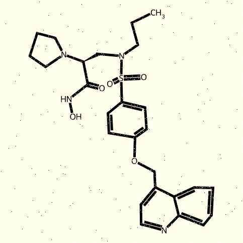 CCCN(C[C@@H](C(=O)NO)N1CCCC1)S(=O)(=O)c1ccc(OCc2ccnc3ccccc23)cc1